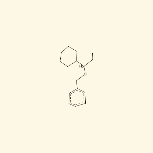 CC[SiH](OCc1ccccc1)C1CCCCC1